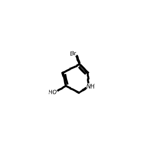 OC1=CC(Br)=CNC1